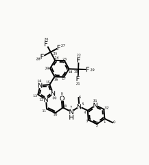 Cc1ccc(N(C)NC(=O)/C=C\n2cnc(-c3cc(C(F)(F)F)cc(C(F)(F)F)c3)n2)nc1